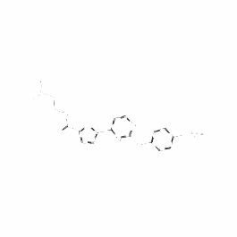 COc1ccc(Nc2nccc(-c3ccc(C(=O)NCCN(C)C)s3)n2)cc1